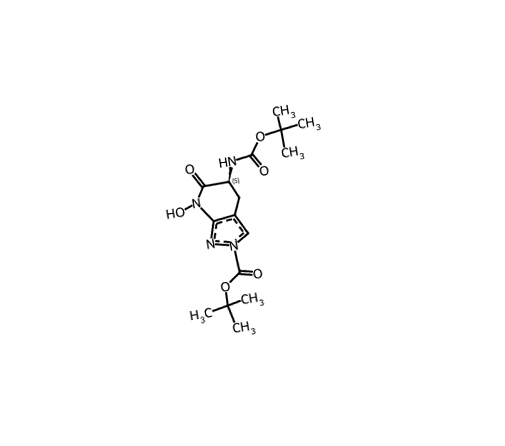 CC(C)(C)OC(=O)N[C@H]1Cc2cn(C(=O)OC(C)(C)C)nc2N(O)C1=O